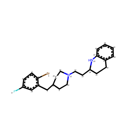 Fc1ccc(Br)c(CC2CCN(CCC3CCc4ccccc4N3)CC2)c1